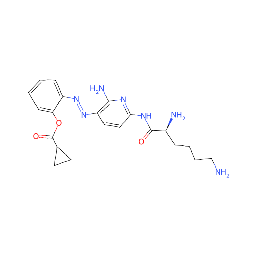 NCCCC[C@H](N)C(=O)Nc1ccc(/N=N/c2ccccc2OC(=O)C2CC2)c(N)n1